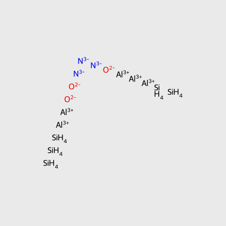 [Al+3].[Al+3].[Al+3].[Al+3].[Al+3].[N-3].[N-3].[N-3].[O-2].[O-2].[O-2].[SiH4].[SiH4].[SiH4].[SiH4].[SiH4]